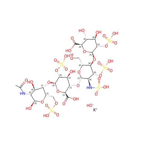 CC(=O)N[C@@H]1[C@@H](O)[C@H](O[C@@H]2O[C@H](C(=O)O)[C@@H](O[C@@H]3O[C@H](CO)[C@@H](O[C@H]4O[C@@H](C(=O)O)[C@H](O)[C@@H](O)[C@@H]4OS(=O)(=O)O)[C@H](OS(=O)(=O)O)[C@H]3NS(=O)(=O)O)[C@H](O)[C@H]2OS(=O)(=O)O)[C@H](COS(=O)(=O)O)O[C@H]1O.[K+].[OH-]